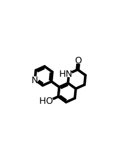 O=C1CCC2CC=C(O)C(c3cccnc3)=C2N1